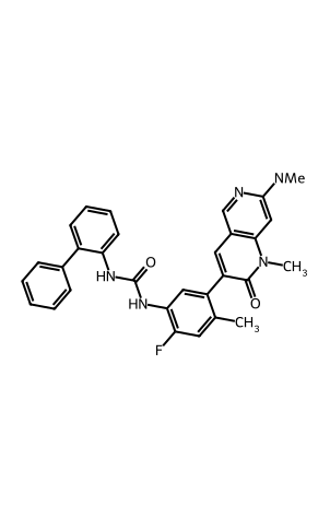 CNc1cc2c(cn1)cc(-c1cc(NC(=O)Nc3ccccc3-c3ccccc3)c(F)cc1C)c(=O)n2C